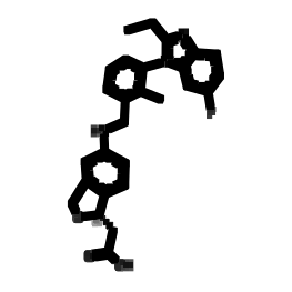 CCc1nc2ccc(F)cc2n1-c1cccc(CNc2ccc3c(c2)CO[C@H]3CC(=O)O)c1C